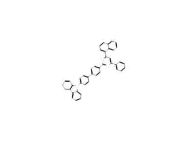 C1=Cc2c(c3ccccc3n2-c2ccc(-c3ccc(-c4nc(-c5ccccc5)cc(-c5cccc6ccccc56)n4)cc3)cc2)CC1